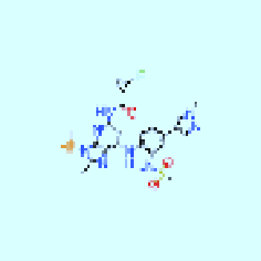 Cc1nc2c(Nc3ccc(-c4cnn(C)c4)cc3N(C)S(C)(=O)=O)cc(NC(=O)[C@@H]3C[C@@H]3F)nc2n1PI